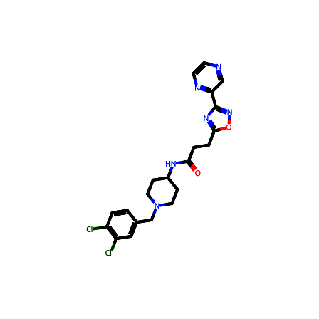 O=C(CCc1nc(-c2cnccn2)no1)NC1CCN(Cc2ccc(Cl)c(Cl)c2)CC1